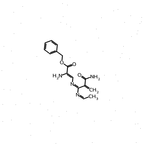 C=C(C(N)=O)C(/N=C\C)=N\C=C(/N)C(=O)OCc1ccccc1